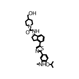 CNc1cc(-c2ncc(-c3cccc4c3CC[C@@H]4NC(=O)N3CCC(CO)CC3)s2)ccc1OC(C)C